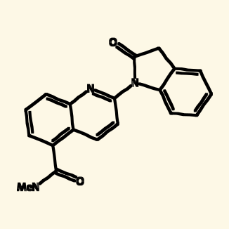 CNC(=O)c1cccc2nc(N3C(=O)Cc4ccccc43)ccc12